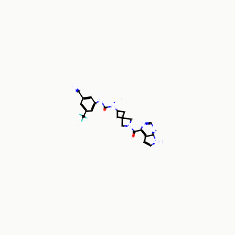 CN(C(=O)Nc1cc(C#N)cc(C(F)(F)F)c1)C1CC2(C1)CN(C(=O)c1ncnc3[nH]ccc13)C2